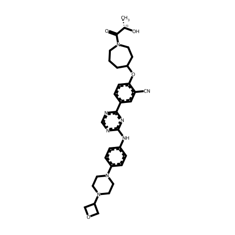 C[C@H](O)C(=O)N1CCCC(Oc2ccc(-c3ncnc(Nc4ccc(N5CCN(C6COC6)CC5)cc4)n3)cc2C#N)CC1